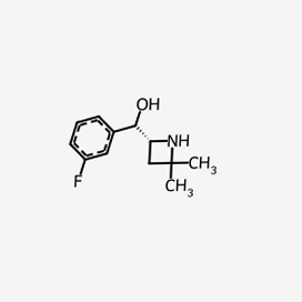 CC1(C)C[C@H](C(O)c2cccc(F)c2)N1